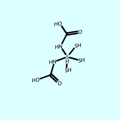 O=C(O)N[SH](S)(S)(S)NC(=O)O